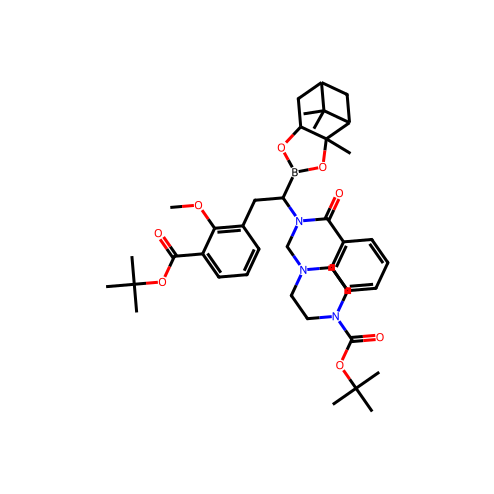 COc1c(CC(B2OC3CC4CC(C4(C)C)C3(C)O2)N(CN2CCN(C(=O)OC(C)(C)C)CC2)C(=O)c2ccccc2)cccc1C(=O)OC(C)(C)C